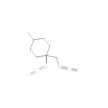 C[C]1CCC(CN=C=O)(N=C=O)CC1